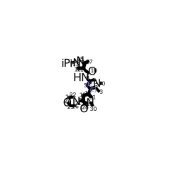 C=N/C(C)=C(\C=C(/C)NC(=O)c1cn(C(C)C)nc1C)c1cc(N2CCOCC2)c(=O)n(C)c1